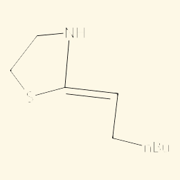 [CH2]CCCCC=C1NCCS1